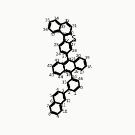 c1cc(-c2ccc3ccccc3c2)cc(-c2c3ccccc3c(-c3ccc4c(c3)sc3ccc5ccccc5c34)c3ccccc23)c1